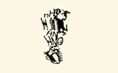 CCCCCCSc1nsc(NC(=O)NCCN2CCOCC2)c1C(N)=O